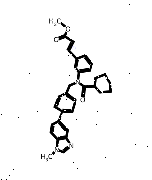 COC(=O)/C=C/c1cccc(N(Cc2ccc(-c3ccc4c(c3)ncn4C)cc2)C(=O)C2CCCCC2)c1